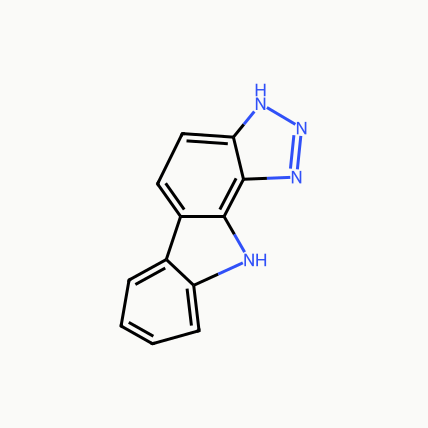 c1ccc2c(c1)[nH]c1c2ccc2[nH]nnc21